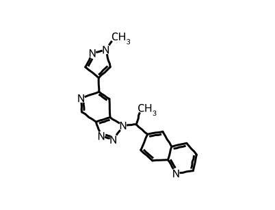 CC(c1ccc2ncccc2c1)n1nnc2cnc(-c3cnn(C)c3)cc21